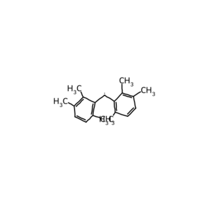 Cc1ccc(C)c([CH]c2c(C)ccc(C)c2C)c1C